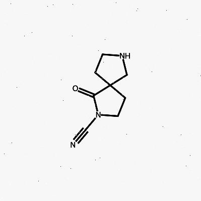 N#CN1CCC2(CCNC2)C1=O